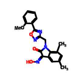 COc1ccccc1-c1nc(CN2C(=O)/C(=N\O)c3cc(C)cc(C)c32)no1